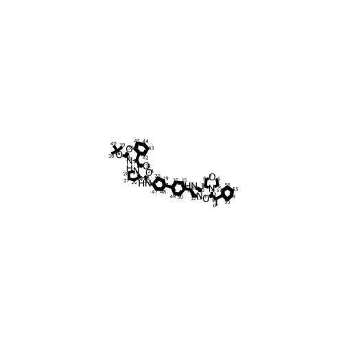 C[C@@H](C(=O)N1CCOC[C@H]1c1ncc(-c2ccc(-c3ccc(NC(=O)[C@@H]4CCCN4C(=O)[C@H](NC(=O)OC(C)(C)C)c4ccccc4)cc3)cc2)[nH]1)c1ccccc1